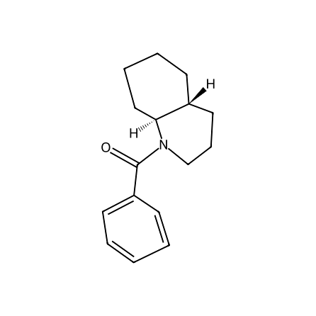 O=C(c1ccccc1)N1CCC[C@H]2CCCC[C@@H]21